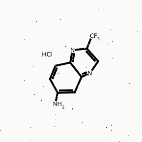 Cl.Nc1ccc2nc(C(F)(F)F)cnc2c1